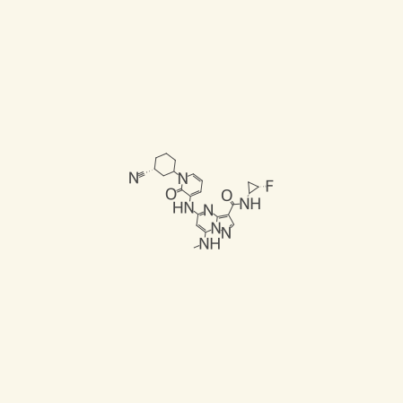 CNc1cc(Nc2cccn(C3CCC[C@@H](C#N)C3)c2=O)nc2c(C(=O)N[C@@H]3C[C@@H]3F)cnn12